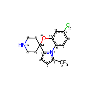 FC(F)(F)c1ccc2n1-c1ccc(Cl)cc1OC21CCNCC1